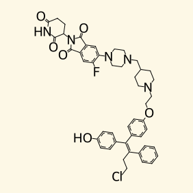 O=C1CCC(N2C(=O)c3cc(F)c(N4CCN(CC5CCN(CCOc6ccc(C(=C(CCCl)c7ccccc7)c7ccc(O)cc7)cc6)CC5)CC4)cc3C2=O)C(=O)N1